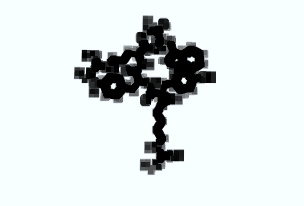 N=C(N)NCCCCC1N[C@@]1(Cc1ccc(O)cc1)C(=O)N[C@@H](Cc1ccc(O)cc1)C(=O)N[C@@H](CCCNC(=N)N)C(=O)N[C@@H](Cc1c[nH]c2ccccc12)C(N)=O